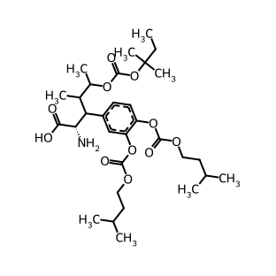 CCC(C)(C)OC(=O)OC(C)C(C)C(c1ccc(OC(=O)OCCC(C)C)c(OC(=O)OCCC(C)C)c1)[C@H](N)C(=O)O